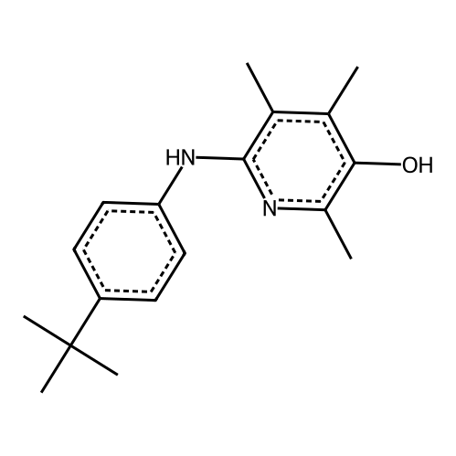 Cc1nc(Nc2ccc(C(C)(C)C)cc2)c(C)c(C)c1O